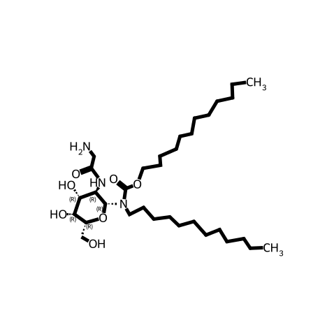 CCCCCCCCCCCCOC(=O)N(CCCCCCCCCCCC)[C@@H]1O[C@H](CO)[C@H](O)[C@H](O)[C@H]1NC(=O)CN